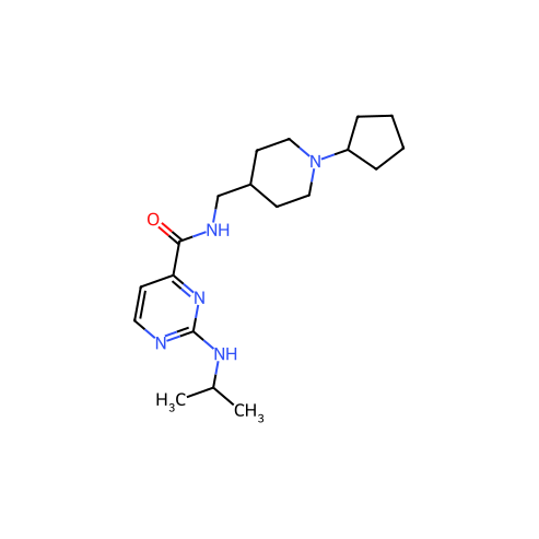 CC(C)Nc1nccc(C(=O)NCC2CCN(C3CCCC3)CC2)n1